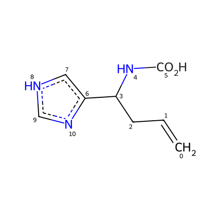 C=CCC(NC(=O)O)c1c[nH]cn1